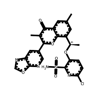 Cc1cc([C@@H](C)Oc2ccc(Cl)nc2S(N)(=O)=O)c2oc(-c3cnc4ocnc4c3)c(C)c(=O)c2c1